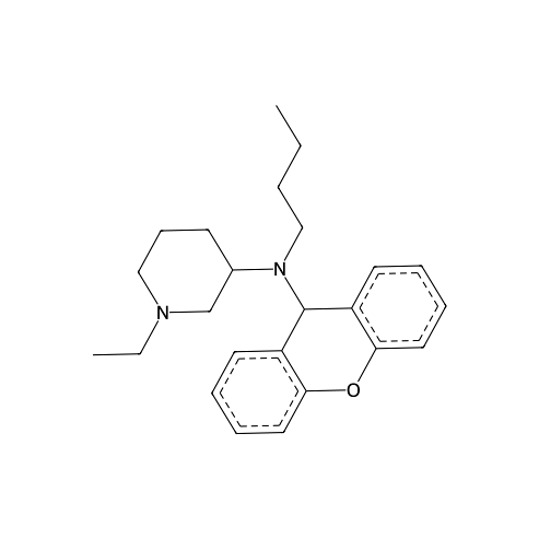 CCCCN(C1CCCN(CC)C1)C1c2ccccc2Oc2ccccc21